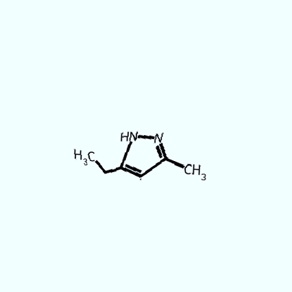 CCc1[c]c(C)n[nH]1